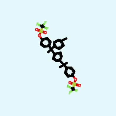 Cc1ccc(C(C)(c2ccc(OS(=O)(=O)C(F)(F)F)cc2)c2ccc(C(C)(C)c3ccc(OS(=O)(=O)C(F)(F)F)cc3)cc2)cc1